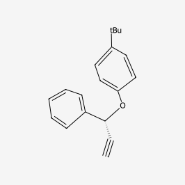 [C]#C[C@@H](Oc1ccc(C(C)(C)C)cc1)c1ccccc1